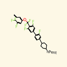 C=C(F)/C=C(\C=C(\F)CF)OC(F)(F)c1c(F)cc(-c2ccc(C3CCC(CCCCC)CC3)cc2F)cc1F